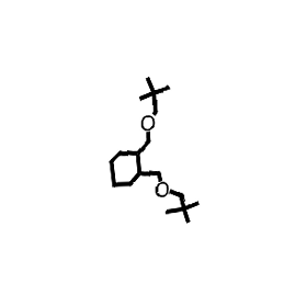 CC(C)(C)COCC1CCCCC1COCC(C)(C)C